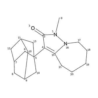 Cn1c(=O)c(C23CC4CC(CC(C4)C2)C3)c2n1CCCCC2